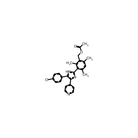 CC(=O)OCc1c(C)cc(C)c(-c2nc(-c3ccncc3)c(-c3ccc(Cl)cc3)[nH]2)c1C